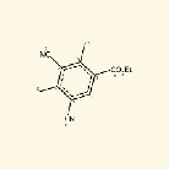 CCOC(=O)c1cc(C#N)c(C)c(C#N)c1C